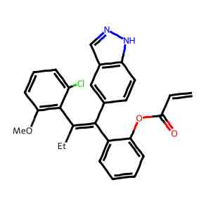 C=CC(=O)Oc1ccccc1/C(=C(\CC)c1c(Cl)cccc1OC)c1ccc2[nH]ncc2c1